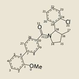 COc1ccccc1-c1ccc(C(=O)N2CCC(C)C2c2ccccc2Cl)cc1